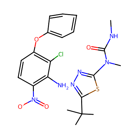 CNC(=O)N(C)c1nnc(C(C)(C)C)s1.Nc1c([N+](=O)[O-])ccc(Oc2ccccc2)c1Cl